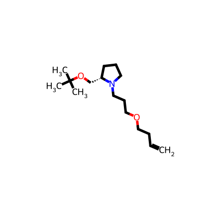 C=CCCOCCCN1CCC[C@H]1COC(C)(C)C